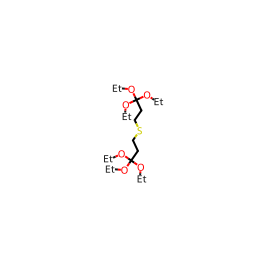 CCOC(CCSCCC(OCC)(OCC)OCC)(OCC)OCC